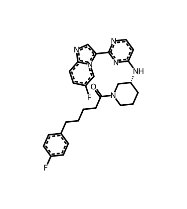 O=C(CCCCc1ccc(F)cc1)N1CCC[C@@H](Nc2ccnc(-c3cnc4ccc(F)cn34)n2)C1